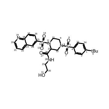 CC(C)(C)c1ccc(S(=O)(=O)N2CCN(S(=O)(=O)c3ccc4ncccc4c3)C(C(=O)NCCO)C2)cc1